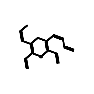 C=C/C=C\C1=C(C=C)OC(C=C)=C(/C=C\C)C1